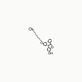 Oc1ccc2c(c1)OC[C@H](c1ccccc1)[C@H]2c1ccc(OCCCCCCCCCN2CCCC2)cc1